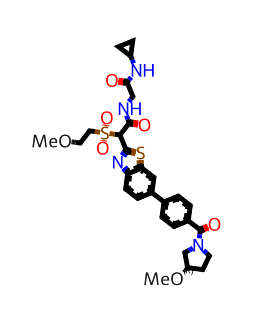 COCCS(=O)(=O)C(C(=O)NCC(=O)NC1CC1)c1nc2ccc(-c3ccc(C(=O)N4CC[C@@H](OC)C4)cc3)cc2s1